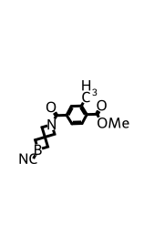 COC(=O)c1ccc(C(=O)N2CC3(CB(C#N)C3)C2)cc1C